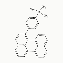 CC(C)(C)c1ccc(-c2ccc3cccc4c5cccc6cccc(c2c34)c65)cc1